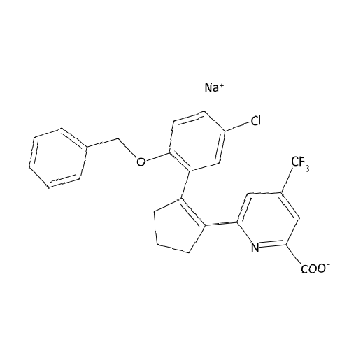 O=C([O-])c1cc(C(F)(F)F)cc(C2=C(c3cc(Cl)ccc3OCc3ccccc3)CCC2)n1.[Na+]